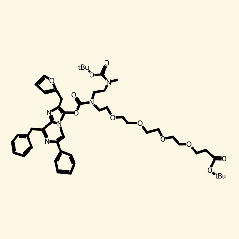 CN(CCN(CCOCCOCCOCCOCCC(=O)OC(C)(C)C)C(=O)Oc1c(Cc2ccco2)nc2c(Cc3ccccc3)nc(-c3ccccc3)cn12)C(=O)OC(C)(C)C